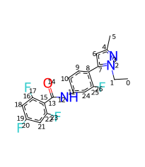 CCn1nc(C)cc1-c1ccc(NC(=O)c2c(F)cc(F)cc2F)cc1F